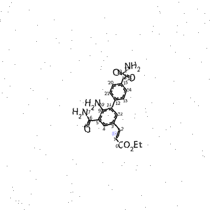 CCOC(=O)/C=C/c1cc(C(N)=O)c(N)c(-c2ccc(S(N)(=O)=O)cc2)c1